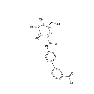 O=C(O)c1cccc(-c2ccc(NC(=O)[C@H]3O[C@H](CO)[C@@H](O)[C@H](O)[C@@H]3O)cc2)c1